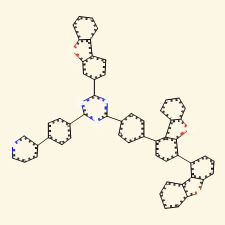 c1cncc(-c2ccc(-c3nc(-c4ccc(-c5ccc(-c6cccc7sc8ccccc8c67)c6oc7ccccc7c56)cc4)nc(-c4ccc5c(c4)oc4ccccc45)n3)cc2)c1